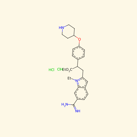 CCOC(=O)C(Cc1cc2ccc(C(=N)N)cc2n1CC)c1ccc(OC2CCNCC2)cc1.Cl.Cl